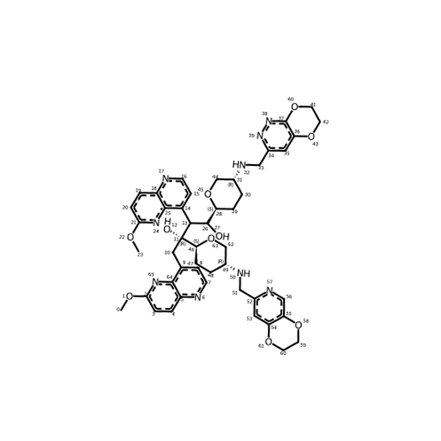 COc1ccc2nccc(C[C@@](O)(C(c3ccnc4ccc(OC)nc34)C(O)[C@@H]3CC[C@@H](NCc4cc5c(nn4)OCCO5)CO3)[C@@H]3CC[C@@H](NCc4cc5c(cn4)OCCO5)CO3)c2n1